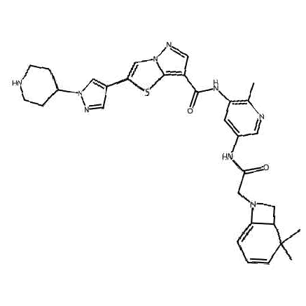 Cc1ncc(NC(=O)CN2CC3C2=CC=CC3(C)C)cc1NC(=O)c1cnn2cc(-c3cnn(C4CCNCC4)c3)sc12